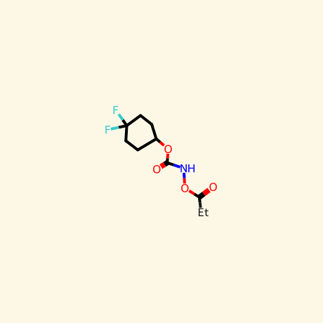 CCC(=O)ONC(=O)OC1CCC(F)(F)CC1